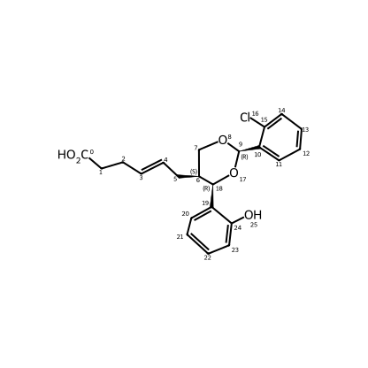 O=C(O)CCC=CC[C@H]1CO[C@@H](c2ccccc2Cl)O[C@H]1c1ccccc1O